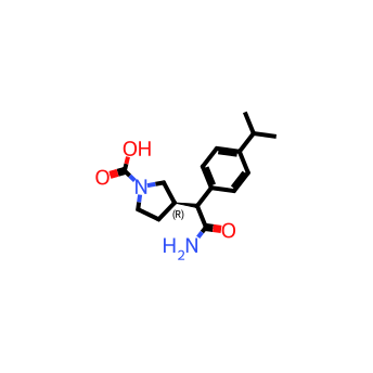 CC(C)c1ccc(C(C(N)=O)[C@H]2CCN(C(=O)O)C2)cc1